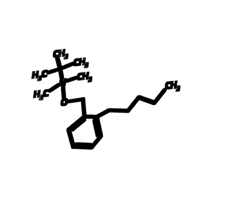 CCCCCc1ccccc1CO[Si](C)(C)C(C)(C)C